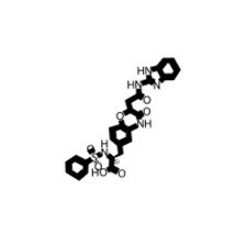 O=C(CC1Oc2ccc(C[C@H](NS(=O)(=O)c3ccccc3)C(=O)O)cc2NC1=O)Nc1nc2ccccc2[nH]1